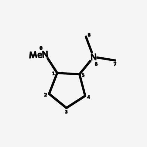 CNC1CCCC1N(C)C